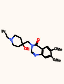 COc1cc2ncn(CC3(O)CCN(CC(C)C)CC3)c(=O)c2cc1OC